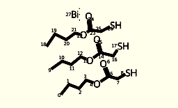 CCCCOC(=O)CS.CCCCOC(=O)CS.CCCCOC(=O)CS.[Bi]